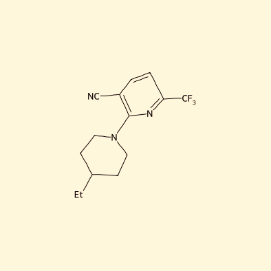 CCC1CCN(c2nc(C(F)(F)F)ccc2C#N)CC1